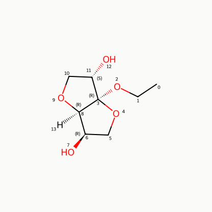 CCO[C@]12OC[C@@H](O)[C@H]1OC[C@@H]2O